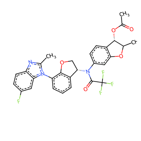 CC(=O)O[C@H]1c2ccc(N(C(=O)C(F)(F)F)[C@H]3COc4c3cccc4-n3c(C)nc4ccc(F)cc43)cc2OC1C